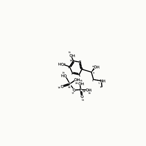 CNC[C@H](O)c1ccc(O)c(O)c1.O=P(O)(O)OP(=O)(O)O